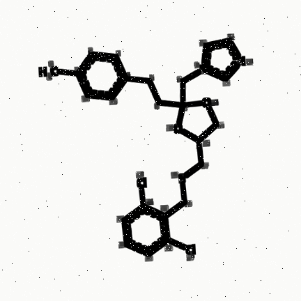 Cc1ccc(CCC2(Cn3ccnc3)OCC(CSCc3c(Cl)cccc3Cl)O2)cc1